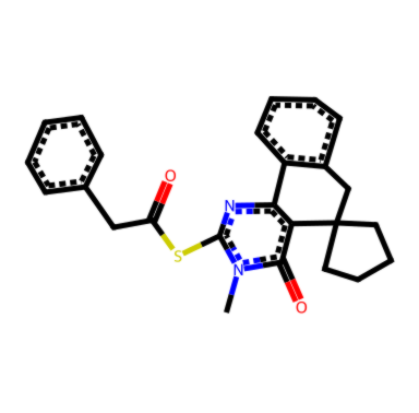 Cn1c(SC(=O)Cc2ccccc2)nc2c(c1=O)C1(CCCC1)Cc1ccccc1-2